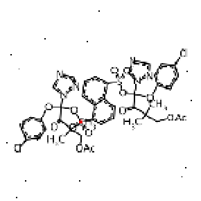 CC(=O)OCC(C)(C)C(=O)C(Oc1ccc(Cl)cc1)(OS(=O)(=O)c1cccc2c(S(=O)(=O)OC(Oc3ccc(Cl)cc3)(C(=O)C(C)(C)COC(C)=O)n3cncn3)cccc12)n1cncn1